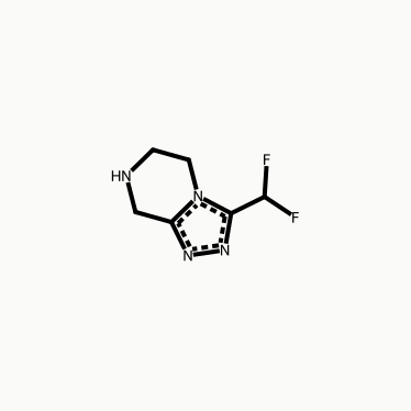 FC(F)c1nnc2n1CCNC2